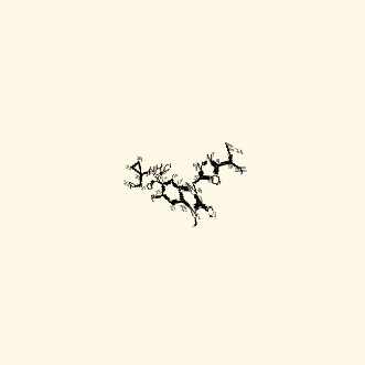 Cn1c(=O)n(-c2nnc(C(F)F)o2)c2cc(S(=O)(=O)NC3(CF)CC3)c(F)cc21